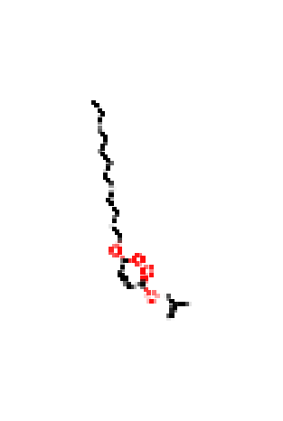 C=C(C)COC(=O)/C=C\C(=O)OCCCCCCCCCCCC